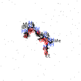 CCOCc1cc(C(=O)NC(COC)C(=O)N[C@@H](COC)C(=O)NC(CC(C)C)C(=O)[C@@]2(CCc3cc(C(=O)NC(COC)C(=O)N[C@H](C(=O)NC(CC(C)C)C(=O)[C@@]4(C)CO4)[C@@H](C)CC)no3)CO2)no1